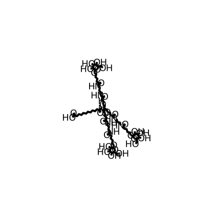 O=C(O)CCCCCCCCCCC(=O)NC(COCCC(=O)NCCCNC(=O)CCCCOC1OC(CO)C(O)C(O)C1O)(COCCC(=O)NCCCNC(=O)CCCCOC1OC(CO)C(O)C(O)C1O)COCCC(=O)NCCCNC(=O)CCCCOC1OC(CO)C(O)C(O)C1O